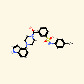 CCCCc1ccc(NS(=O)(=O)c2cccc(C(O)N3CCN(c4cccc5[nH]ccc45)CC3)c2)cc1